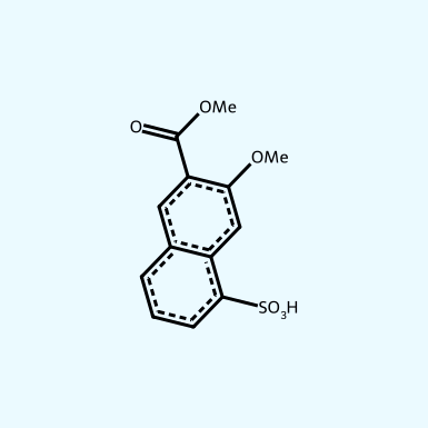 COC(=O)c1cc2cccc(S(=O)(=O)O)c2cc1OC